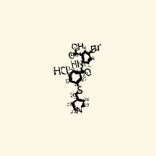 Cl.O=C(Nc1ccc(Br)cc1C(=O)O)c1cccc(SCc2ccncc2)c1